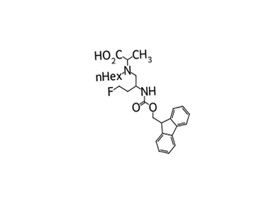 CCCCCCN(CC(CCF)NC(=O)OCC1c2ccccc2-c2ccccc21)C(C)C(=O)O